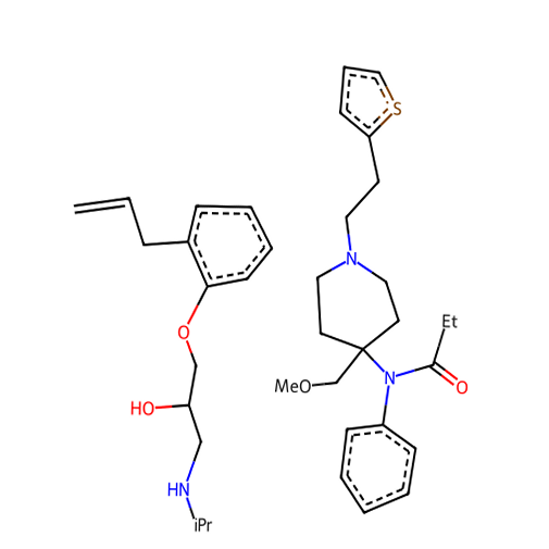 C=CCc1ccccc1OCC(O)CNC(C)C.CCC(=O)N(c1ccccc1)C1(COC)CCN(CCc2cccs2)CC1